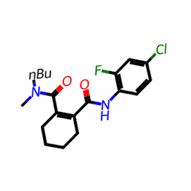 CCCCN(C)C(=O)C1=C(C(=O)Nc2ccc(Cl)cc2F)CCCC1